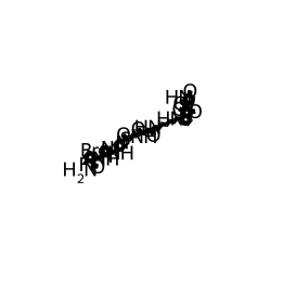 NC(=O)c1c(F)cccc1Nc1nc(NC2CCN([S+]([O-])CCNC(=O)CCC(=O)NCCCCCNc3cccc4c3C(=O)N(C3CCC(=O)NC3=O)C4=O)CC2)ncc1Br